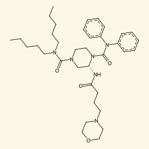 CCCCCN(CCCCC)C(=O)N1CCN(C(=O)N(c2ccccc2)c2ccccc2)[C@H](NC(=O)CCCN2CCOCC2)C1